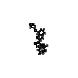 CCCOc1cccc2cc(C(=O)N[C@@H]3C4CCN(CC4)C34CC4)sc12